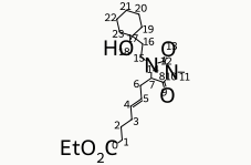 CCOC(=O)CCCC=CCC1C(=O)N(C)C(=O)N1CCC1(O)CCCCC1